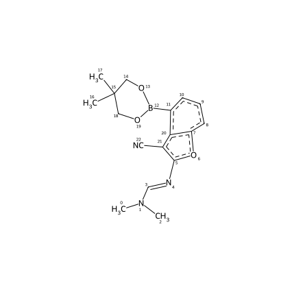 CN(C)C=Nc1oc2cccc(B3OCC(C)(C)CO3)c2c1C#N